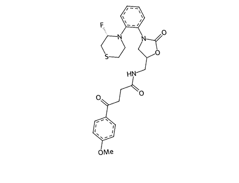 COc1ccc(C(=O)CCC(=O)NCC2CN(c3ccccc3N3CCSC[C@@H]3F)C(=O)O2)cc1